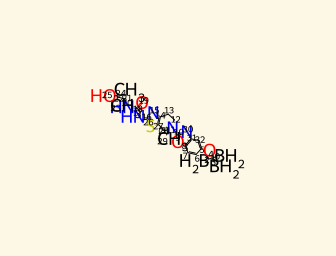 BC(B)(B)Oc1ccc2oc(N3CCc4nc(NC(=O)NCC(C)(C)O)sc4[C@@H]3C)nc2c1